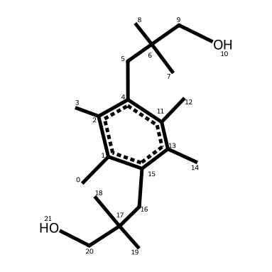 Cc1c(C)c(CC(C)(C)CO)c(C)c(C)c1CC(C)(C)CO